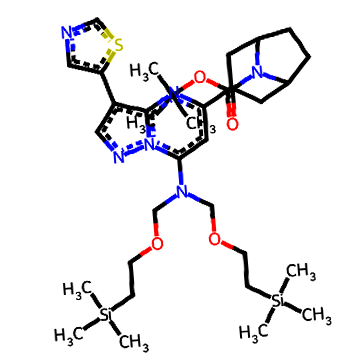 CC(C)(C)OC(=O)N1C2CCC1CC(c1cc(N(COCC[Si](C)(C)C)COCC[Si](C)(C)C)n3ncc(-c4cncs4)c3n1)C2